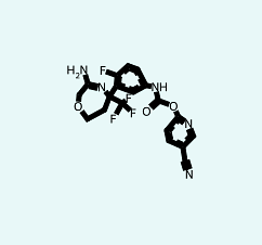 N#Cc1ccc(OC(=O)Nc2ccc(F)c(C3(C(F)(F)F)CCOCC(N)=N3)c2)nc1